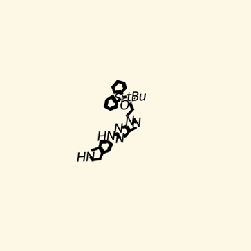 C[C@H](CCn1ncc2cnc(Nc3ccc4c(c3)CNCC4)nc21)O[Si](c1ccccc1)(c1ccccc1)C(C)(C)C